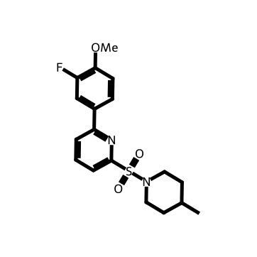 COc1ccc(-c2cccc(S(=O)(=O)N3CCC(C)CC3)n2)cc1F